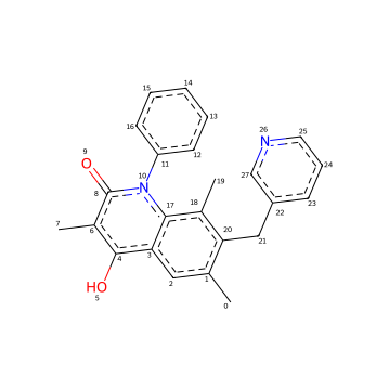 Cc1cc2c(O)c(C)c(=O)n(-c3ccccc3)c2c(C)c1Cc1cccnc1